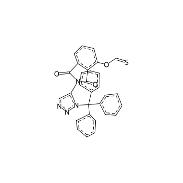 O=C1c2cccc(OC=S)c2C(=O)N1c1cnnn1C(c1ccccc1)(c1ccccc1)c1ccccc1